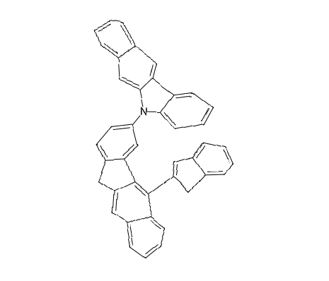 C1=C(c2c3c(cc4ccccc24)Cc2ccc(-n4c5ccccc5c5cc6ccccc6cc54)cc2-3)Cc2ccccc21